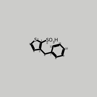 O=S(=O)(O)c1sccc1Cc1ccccc1